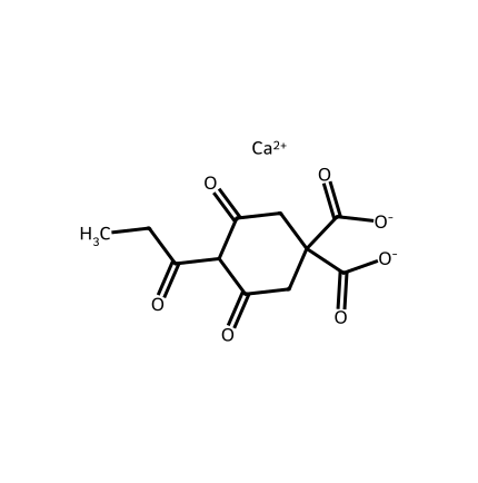 CCC(=O)C1C(=O)CC(C(=O)[O-])(C(=O)[O-])CC1=O.[Ca+2]